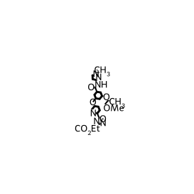 CCOC(=O)c1noc(-c2ccc(Oc3cc(O[C@@H](C)COC)cc(C(=O)Nc4ccn(C)n4)c3)cn2)n1